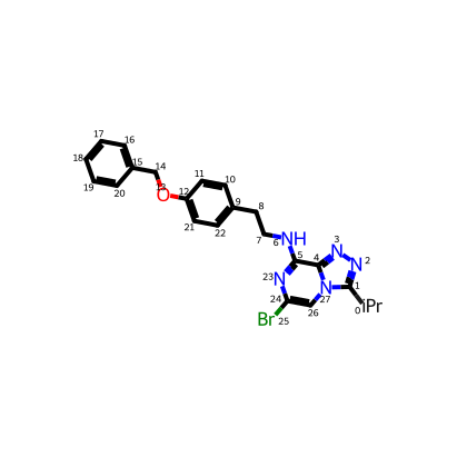 CC(C)c1nnc2c(NCCc3ccc(OCc4ccccc4)cc3)nc(Br)cn12